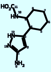 Nc1cc(C2CCCCC2NC(=O)O)[nH]n1